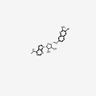 CNc1ncnc2c1ccn2[C@@H]1O[C@H](COc2ccc3cc(Br)c(N)nc3c2)[C@@H](O)[C@H]1O